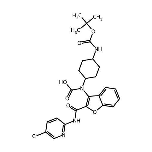 CC(C)(C)OC(=O)NC1CCC(N(C(=O)O)c2c(C(=O)Nc3ccc(Cl)cn3)oc3ccccc23)CC1